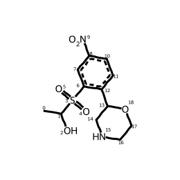 CC(O)S(=O)(=O)c1cc([N+](=O)[O-])ccc1C1CNCCO1